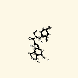 CCN(C(=O)c1cc2nc(N)c3c(c2[nH]1)CO[C@@H]3C)[C@@H](C)c1ccc(Br)cc1F